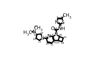 Cc1cnc(NC(=O)N2c3nc(N4CC[C@H](N(C)C)C4)ccc3C3CCC32)s1